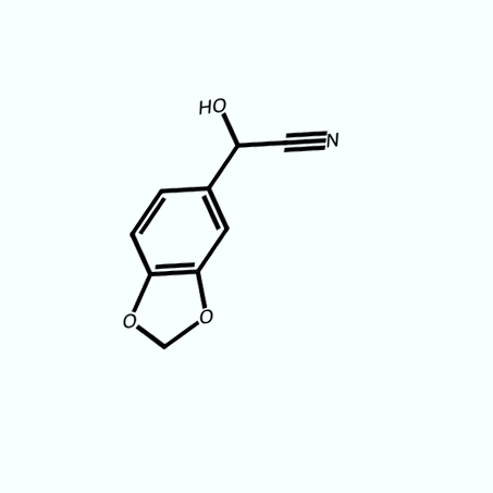 N#CC(O)c1ccc2c(c1)OCO2